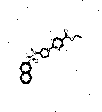 CCOC(=O)c1cnc(N2CCC(N(C)S(=O)(=O)c3ccc4ccccc4c3)C2)nc1